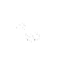 CCn1c(C(=O)NCC2CCC2)nc2c(N3CCC(n4c(=O)[nH]c5ccccc54)CC3)ncnc21